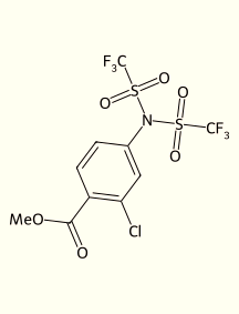 COC(=O)c1ccc(N(S(=O)(=O)C(F)(F)F)S(=O)(=O)C(F)(F)F)cc1Cl